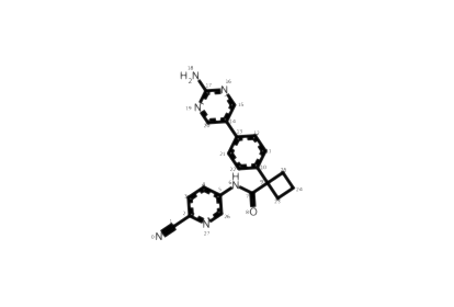 N#Cc1ccc(NC(=O)C2(c3ccc(-c4cnc(N)nc4)cc3)CCC2)cn1